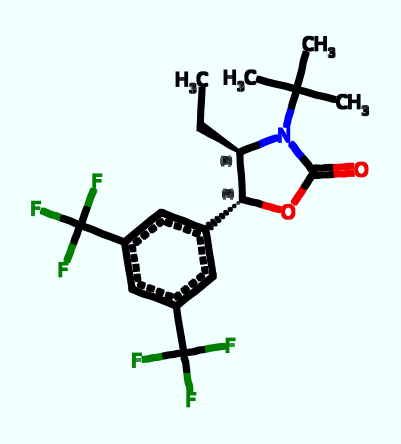 CC[C@@H]1[C@@H](c2cc(C(F)(F)F)cc(C(F)(F)F)c2)OC(=O)N1C(C)(C)C